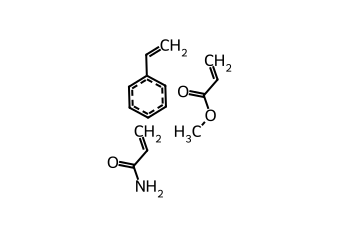 C=CC(=O)OC.C=CC(N)=O.C=Cc1ccccc1